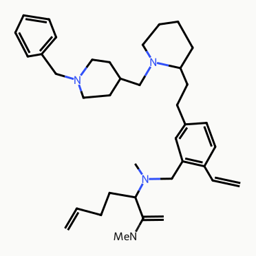 C=CCCC(C(=C)NC)N(C)Cc1cc(CCC2CCCCN2CC2CCN(Cc3ccccc3)CC2)ccc1C=C